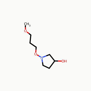 COCCCON1CCC(O)C1